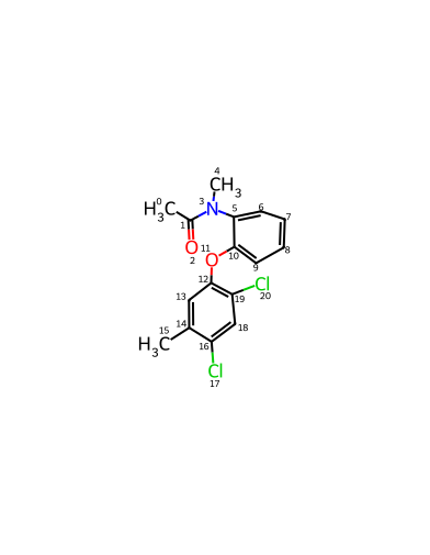 CC(=O)N(C)c1ccccc1Oc1cc(C)c(Cl)cc1Cl